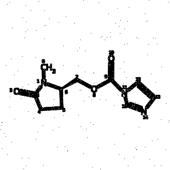 CN1C(=O)CC[C@@H]1COC(=O)n1ccnc1